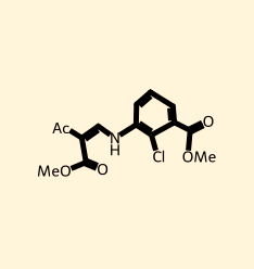 COC(=O)C(=CNc1cccc(C(=O)OC)c1Cl)C(C)=O